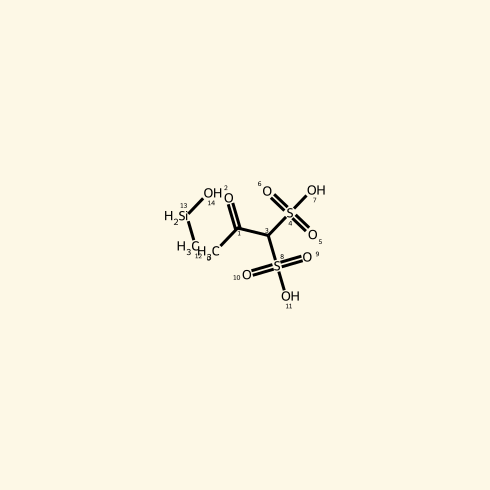 CC(=O)C(S(=O)(=O)O)S(=O)(=O)O.C[SiH2]O